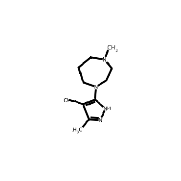 Cc1n[nH]c(N2CCCN(C)CC2)c1Cl